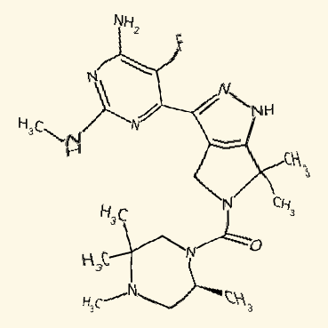 CNc1nc(N)c(F)c(-c2n[nH]c3c2CN(C(=O)N2CC(C)(C)N(C)C[C@@H]2C)C3(C)C)n1